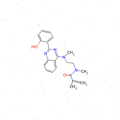 C=C(C)C(=O)N(C)CCN(C)c1nc(-c2ccccc2O)nc2ccccc12